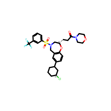 O=C(CC[C@H]1CN(S(=O)(=O)c2cccc(C(F)(F)F)c2)Cc2cc(C3CCC[C@H](Cl)C3)ccc2O1)N1CCOCC1